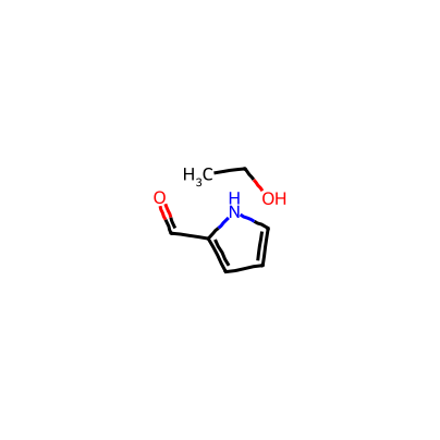 CCO.O=Cc1ccc[nH]1